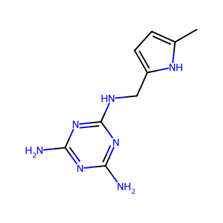 Cc1ccc(CNc2nc(N)nc(N)n2)[nH]1